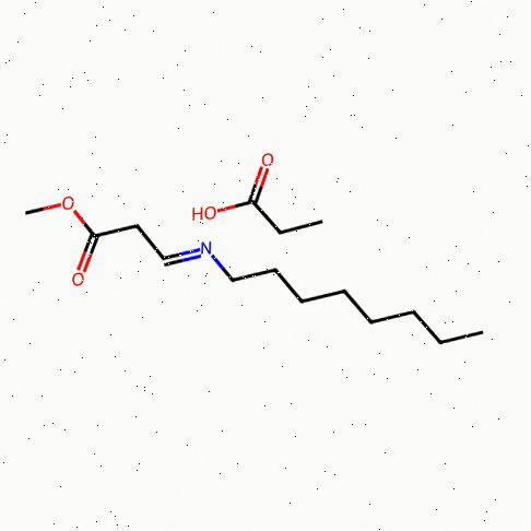 CCC(=O)O.CCCCCCCCN=CCC(=O)OC